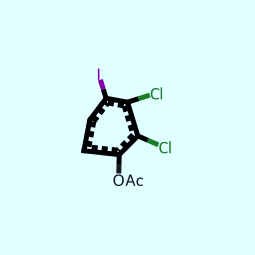 CC(=O)Oc1ccc(I)c(Cl)c1Cl